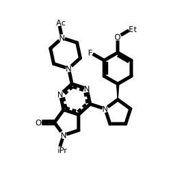 CCOC1=CCC([C@H]2CCCN2c2nc(N3CCN(C(C)=O)CC3)nc3c2CN(C(C)C)C3=O)C=C1F